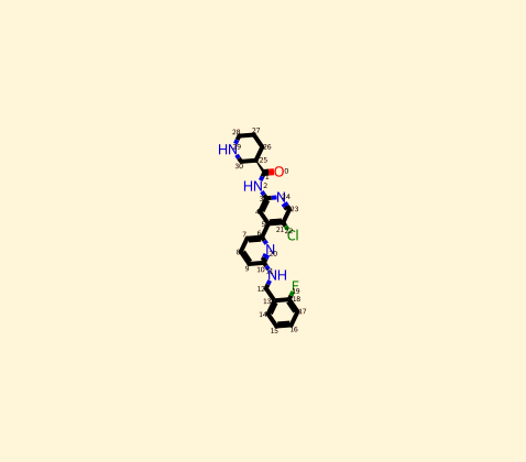 O=C(Nc1cc(-c2cccc(NCc3ccccc3F)n2)c(Cl)cn1)[C@@H]1CCCNC1